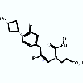 CCNC(=O)N(/C=C(\Cc1ccc([C@H]2C[C@@H](C(C)C)C2)c(Cl)c1)C(C)C)CCC(=O)O